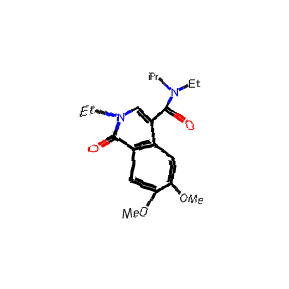 CCN(C(=O)c1cn(CC)c(=O)c2cc(OC)c(OC)cc12)C(C)C